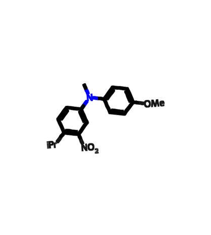 COc1ccc(N(C)c2ccc(C(C)C)c([N+](=O)[O-])c2)cc1